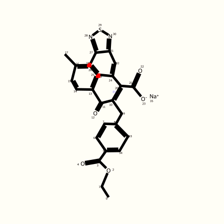 CCOC(=O)c1ccc(C/C(C(=O)c2ccc(C)cc2)=C(\C(=O)[O-])c2ccc3nsnc3c2)cc1.[Na+]